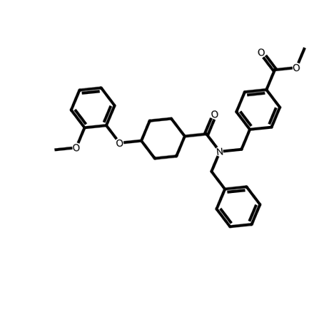 COC(=O)c1ccc(CN(Cc2ccccc2)C(=O)C2CCC(Oc3ccccc3OC)CC2)cc1